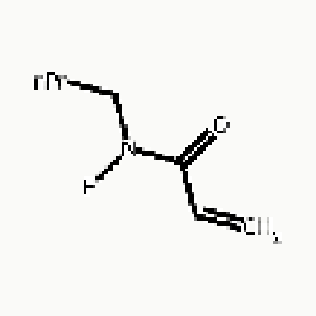 C=CC(=O)N(F)CCCC